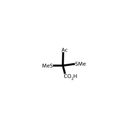 CSC(SC)(C(C)=O)C(=O)O